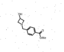 COC(=O)c1ccc(CN2CC(O)C2)cc1